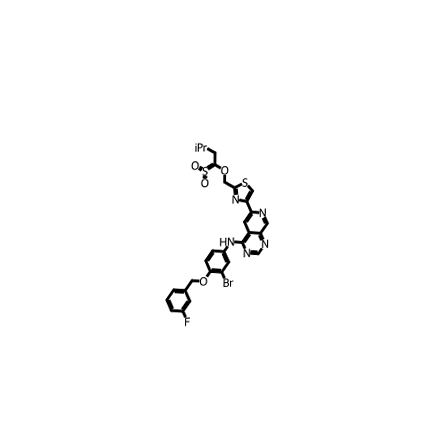 CC(C)CC(OCc1nc(-c2cc3c(Nc4ccc(OCc5cccc(F)c5)c(Br)c4)ncnc3cn2)cs1)=S(=O)=O